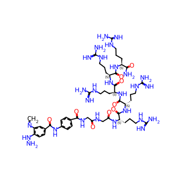 C=Nc1cc(C(=O)Nc2ccc(C(=O)NCC(=O)NCC(=O)N[C@@H](CCCNC(=N)N)C(=O)N[C@@H](CCCNC(=N)N)C(=O)N[C@@H](CCCNC(=N)N)C(=O)N[C@@H](CCCNC(=N)N)C(=O)N[C@@H](CCCNC(=N)N)C(N)=O)cc2)ccc1NN